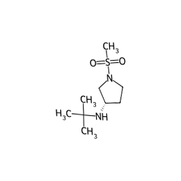 CC(C)(C)N[C@H]1CCN(S(C)(=O)=O)C1